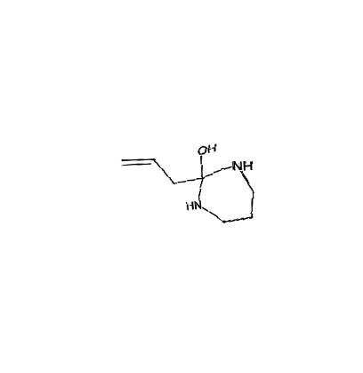 C=CCC1(O)NCCCN1